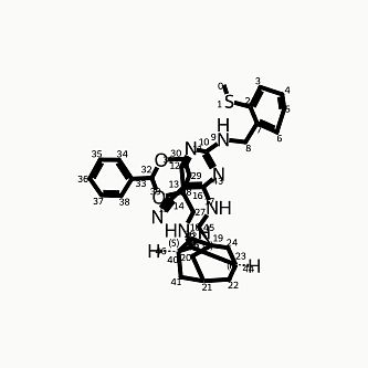 CSc1ccccc1CNc1ncc(C#N)c(NC[C@]23CC4C[C@H](C2)[C@@H](NCC2CCOC(c5ccccc5)O2)[C@@H](C4)C3)n1